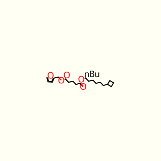 CCCCC(CCCCCC1CCC1)OC(=O)CCCC(=O)OCc1ccco1